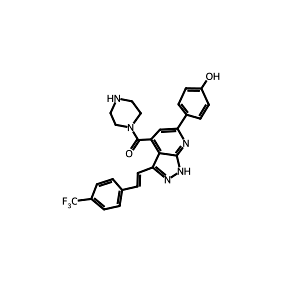 O=C(c1cc(-c2ccc(O)cc2)nc2[nH]nc(C=Cc3ccc(C(F)(F)F)cc3)c12)N1CCNCC1